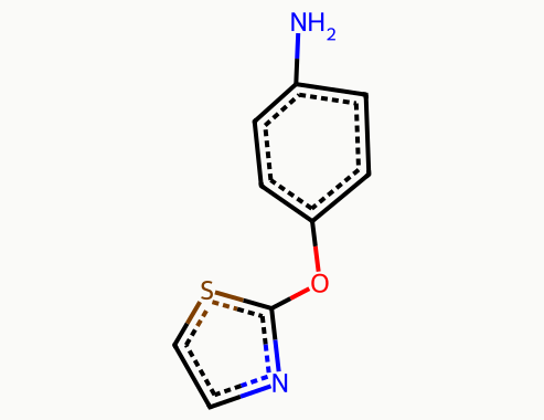 Nc1ccc(Oc2nccs2)cc1